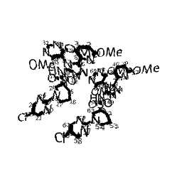 COc1cccc(-c2nnc(NS(=O)(=O)[C@@H]3CCCN(c4ncc(Cl)cn4)C3)n2-c2c(OC)ncnc2OC)n1.COc1cccc(-c2nnc(NS(=O)(=O)[C@H]3CCCN(c4ncc(Cl)cn4)C3)n2-c2c(OC)ncnc2OC)n1